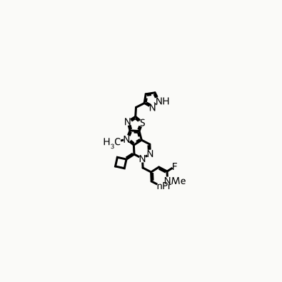 CCC/C=C(\C=C(\F)NC)CN1N=Cc2c(n(C)c3nc(Cc4cc[nH]n4)sc23)C1=C1CCC1